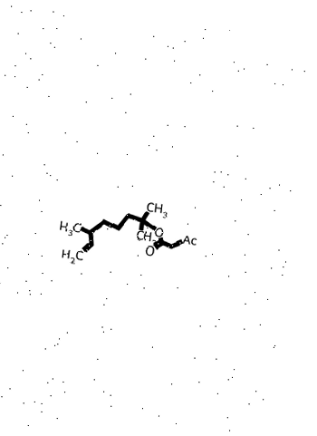 C=CC(C)CCCC(C)(C)OC(=O)CC(C)=O